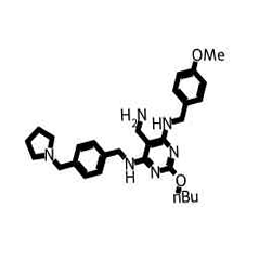 CCCCOc1nc(NCc2ccc(CN3CCCC3)cc2)c(CN)c(NCc2ccc(OC)cc2)n1